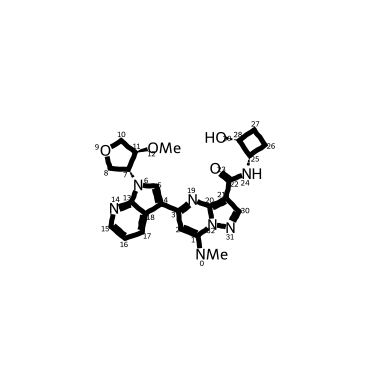 CNc1cc(-c2cn([C@@H]3COC[C@H]3OC)c3ncccc23)nc2c(C(=O)N[C@H]3CC[C@H]3O)cnn12